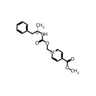 COC(=O)c1cc[n+](COC(=O)N[C@@H](C)Cc2ccccc2)cc1